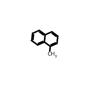 Cc1cccc2cc[c]cc12